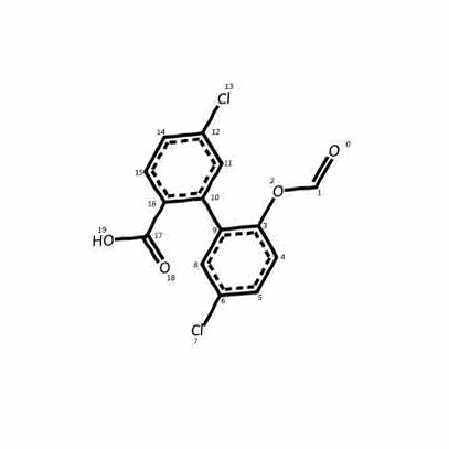 O=COc1ccc(Cl)cc1-c1cc(Cl)ccc1C(=O)O